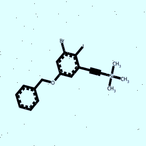 C[Si](C)(C)C#Cc1cc(OCc2ccccc2)cc(Br)c1I